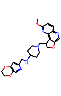 COc1ccc2ncc3c(c2n1)C(CN1CCC(NCc2cc4c(cn2)OCCO4)CC1)CO3